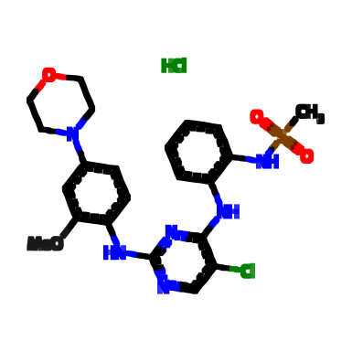 COc1cc(N2CCOCC2)ccc1Nc1ncc(Cl)c(Nc2ccccc2NS(C)(=O)=O)n1.Cl